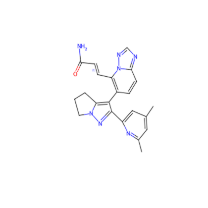 Cc1cc(C)nc(-c2nn3c(c2-c2ccc4ncnn4c2/C=C/C(N)=O)CCC3)c1